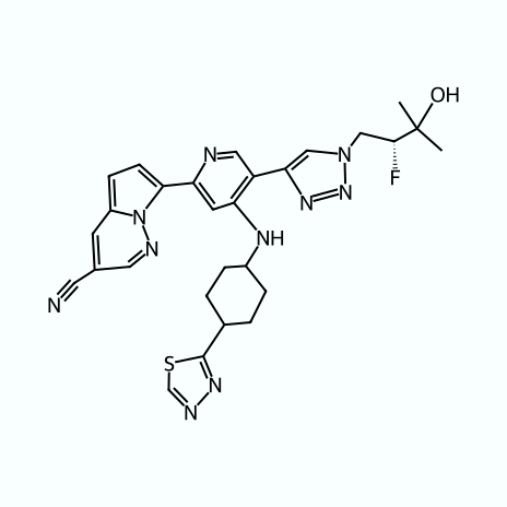 CC(C)(O)[C@H](F)Cn1cc(-c2cnc(-c3ccc4cc(C#N)cnn34)cc2NC2CCC(c3nncs3)CC2)nn1